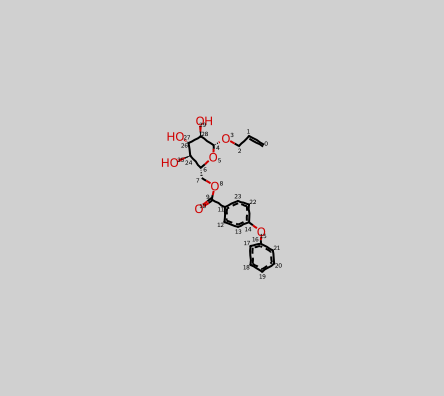 C=CCO[C@@H]1O[C@H](COC(=O)c2ccc(Oc3ccccc3)cc2)[C@@H](O)[C@H](O)[C@H]1O